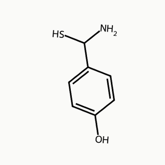 NC(S)c1ccc(O)cc1